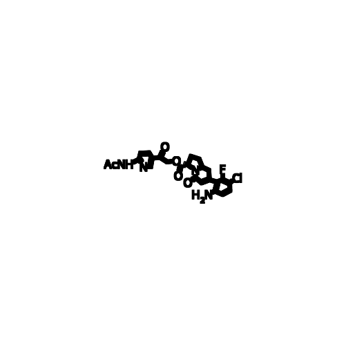 CC(=O)Nc1ccc(C(=O)COC(=O)[C@H]2CCC3CC(c4c(N)ccc(Cl)c4F)=CC(=O)N32)cn1